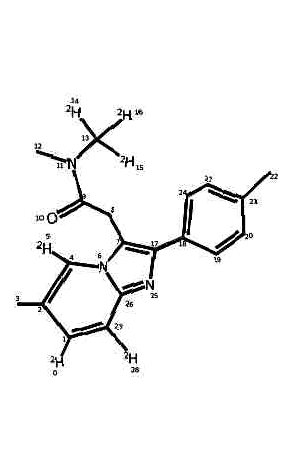 [2H]c1c(C)c([2H])n2c(CC(=O)N(C)C([2H])([2H])[2H])c(-c3ccc(C)cc3)nc2c1[2H]